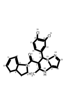 CC1=C(C(=O)N2CCC3CC=CC=C32)C(c2ccc(Cl)c(Cl)c2)n2nccc2N1